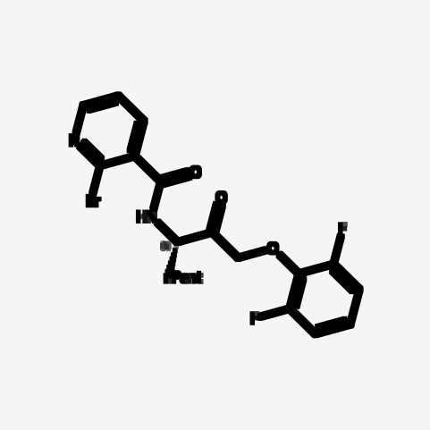 CCCCC[C@H](NC(=O)c1cccnc1Br)C(=O)COc1c(F)cccc1F